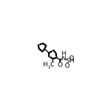 Cc1cc(-c2ccccc2)ccc1C(=O)N[SH](=O)=O